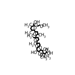 CCC1(C2OC(C3OC(CO)(OCCOC)C(C)CC3C)CC2C)CCC(C2(C)CCC3(CC(O)C(C)C(C(C)C(OC)C(C)C(=O)O)O3)O2)O1